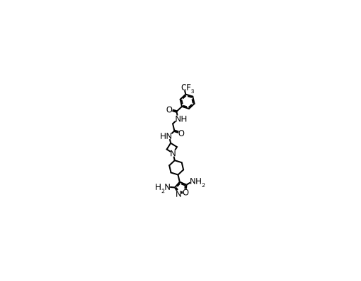 Nc1noc(N)c1C1CCC(N2CC(NC(=O)CNC(=O)c3cccc(C(F)(F)F)c3)C2)CC1